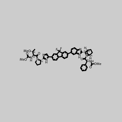 COC(=O)N[C@H](C(=O)N1CCC[C@H]1c1ncc(-c2ccc3c(c2)C(F)(F)c2cc(-c4ccc5nc([C@@H]6[C@H]7CC[C@H](C7)N6C(=O)[C@H](NC(=O)OC)c6ccccc6)[nH]c5c4)ccc2-3)[nH]1)[C@@H](C)OC